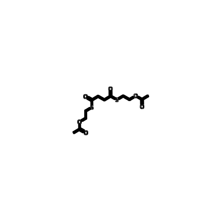 CC(=O)OCCSC(=O)CCC(=O)SCCOC(C)=O